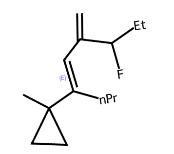 C=C(/C=C(\CCC)C1(C)CC1)C(F)CC